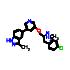 Cc1cc(Cl)ccc1C[C@H](N)COc1cncc(-c2ccc3[nH]nc(C)c3c2)c1